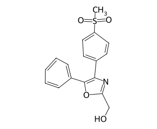 CS(=O)(=O)c1ccc(-c2nc(CO)oc2-c2ccccc2)cc1